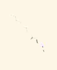 CCCCOCCOC(=O)C=CN=C=O